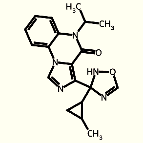 CC1CC1C1(c2ncn3c2c(=O)n(C(C)C)c2ccccc23)N=CON1